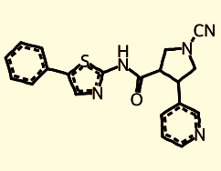 N#CN1CC(C(=O)Nc2ncc(-c3ccccc3)s2)C(c2cccnc2)C1